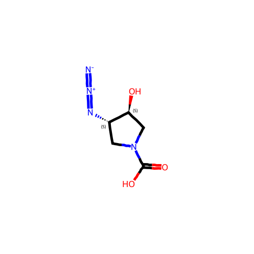 [N-]=[N+]=N[C@H]1CN(C(=O)O)C[C@@H]1O